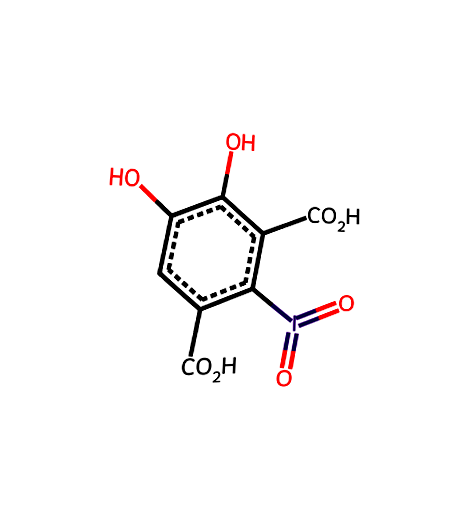 O=C(O)c1cc(O)c(O)c(C(=O)O)c1I(=O)=O